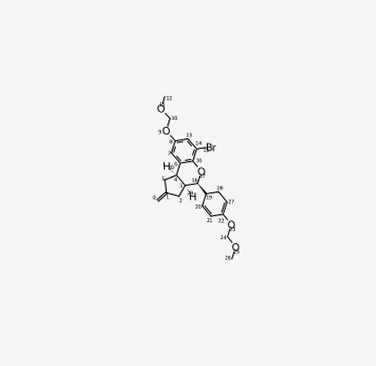 C=C1C[C@H]2[C@@H](C1)c1cc(OCOC)cc(Br)c1O[C@H]2C1C=CC(OCOC)=CC1